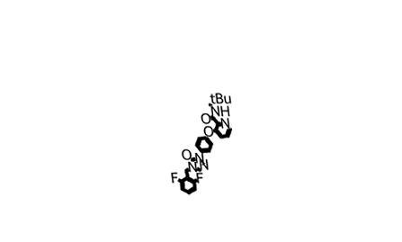 CC(C)(C)CNC(=O)c1ncccc1Oc1ccc(-n2ncn(Cc3c(F)cccc3F)c2=O)cc1